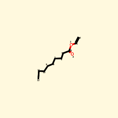 C=COC(=O)CCCCCCCC